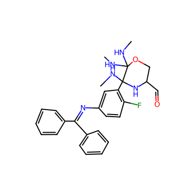 CNC1(NC)OCC(C=O)NC1(NC)c1cc(N=C(c2ccccc2)c2ccccc2)ccc1F